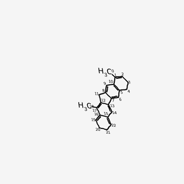 CC1=CCCc2cc3c(cc21)Cc1c-3cc2c(c1C)=CCCC=2